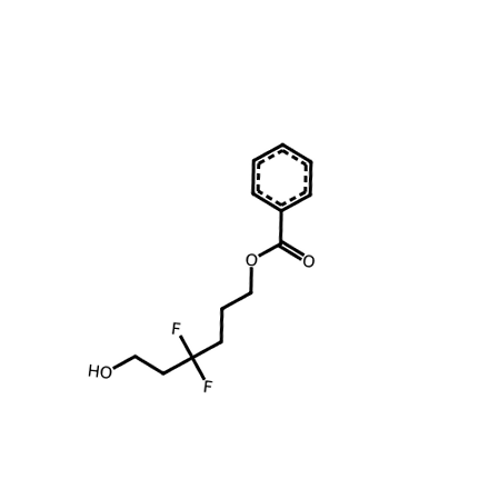 O=C(OCCCC(F)(F)CCO)c1ccccc1